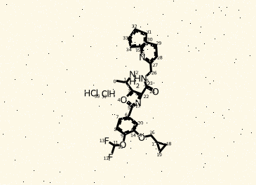 CC(N)c1oc(-c2ccc(OC(F)F)c(OCC3CC3)c2)nc1C(=O)NCc1ccc2ccccc2n1.Cl.Cl